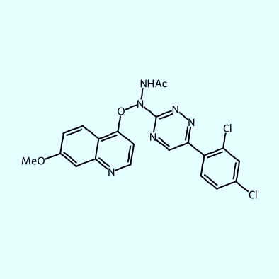 COc1ccc2c(ON(NC(C)=O)c3ncc(-c4ccc(Cl)cc4Cl)nn3)ccnc2c1